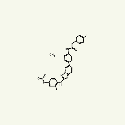 C.Cc1cc(N=S(=O)=O)ccc1Nc1nc2ccc(-c3ccc(NC(=O)Cc4ccc(F)cc4)cc3)cn2n1